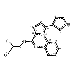 CC(C)CNc1nc2ccccc2n2c(-c3cc[nH]n3)cnc12